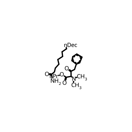 CCCCCCCCCCCCCCCCCC(N)=O.CCCOC(=O)C(C(=O)Cc1ccccc1)N(C)C